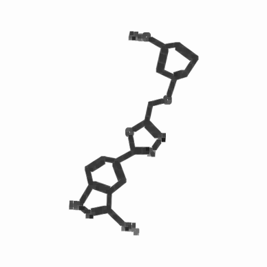 COc1cccc(OCc2nnc(-c3ccc4[nH]nc(N)c4c3)o2)c1